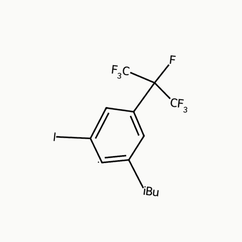 CCC(C)c1[c]c(I)cc(C(F)(C(F)(F)F)C(F)(F)F)c1